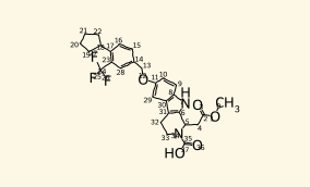 COC(=O)CC1c2[nH]c3ccc(OCc4ccc(C5CCCC5)c(C(F)(F)F)c4)cc3c2CCN1C(=O)O